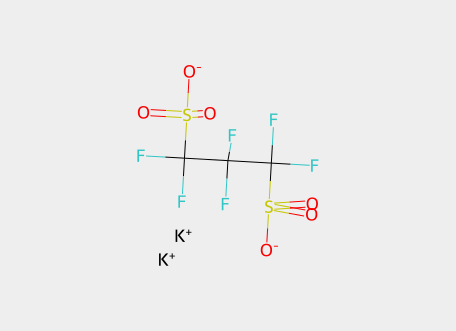 O=S(=O)([O-])C(F)(F)C(F)(F)C(F)(F)S(=O)(=O)[O-].[K+].[K+]